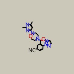 Cc1cc(N2CCN(C(=O)c3cc(C#N)ccc3-n3nccn3)CCO2)nc(C)n1